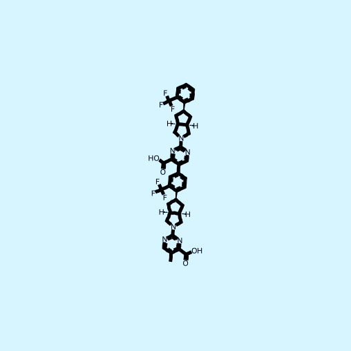 Cc1cnc(N2C[C@H]3C[C@@H](c4ccc(-c5cnc(N6C[C@H]7C[C@@H](c8ccccc8C(F)(F)F)C[C@H]7C6)nc5C(=O)O)cc4C(F)(F)F)C[C@H]3C2)nc1C(=O)O